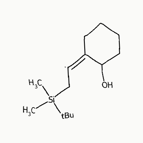 CC(C)(C)[Si](C)(C)C/[C]=C1/CCCCC1O